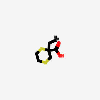 CCC1(C(=O)O)CSCCS1